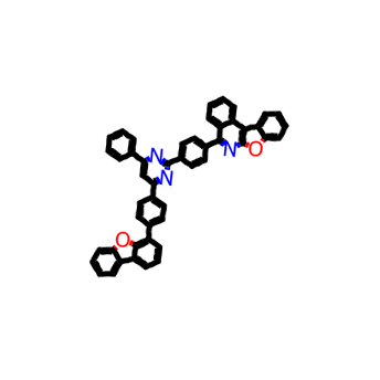 c1ccc(-c2cc(-c3ccc(-c4cccc5c4oc4ccccc45)cc3)nc(-c3ccc(-c4nc5oc6ccccc6c5c5ccccc45)cc3)n2)cc1